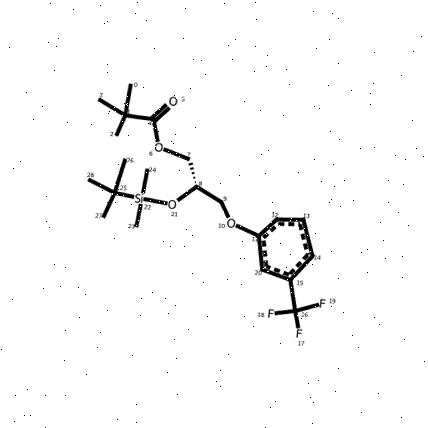 CC(C)(C)C(=O)OC[C@H](COc1cccc(C(F)(F)F)c1)O[Si](C)(C)C(C)(C)C